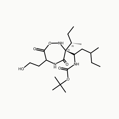 CCC(C)CC(NC(=O)OC(C)(C)C)[C@]1([C@@H](C)CC)NOC(=O)C(CCO)NC1=O